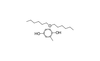 CCCCCCOCCCCCC.Cc1cc(O)ccc1O